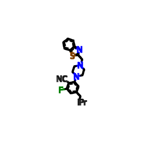 CC(C)Cc1cc(F)c(C#N)c(N2CCN(Cc3nc4ccccc4s3)CC2)c1